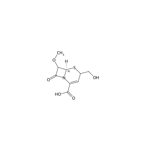 COC1C(=O)N2C(C(=O)O)=CC(CO)S[C@H]12